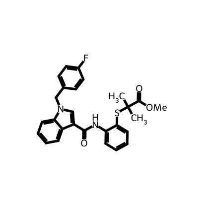 COC(=O)C(C)(C)Sc1ccccc1NC(=O)c1cn(Cc2ccc(F)cc2)c2ccccc12